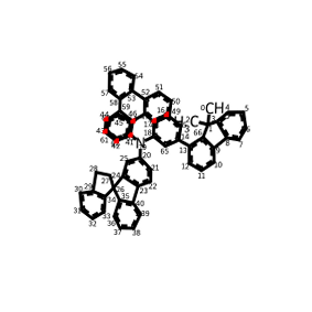 CC1(C)c2ccccc2-c2cccc(-c3cccc(N(c4ccc5c(c4)C4(CCc6ccccc64)c4ccccc4-5)c4ccccc4-c4ccccc4-c4ccccc4-c4ccccc4)c3)c21